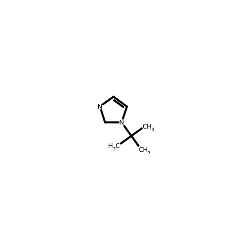 CC(C)(C)N1C=C[N]C1